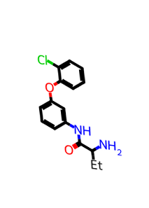 CCC(N)C(=O)Nc1cccc(Oc2ccccc2Cl)c1